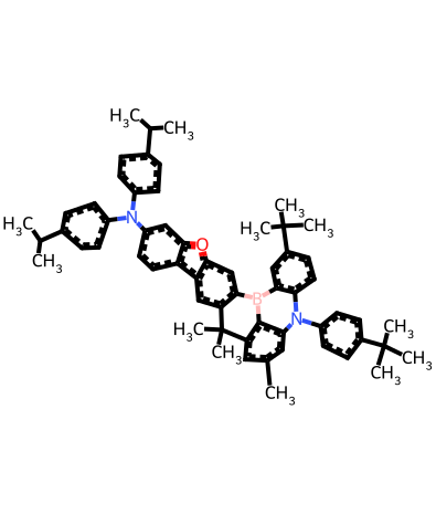 Cc1cc2c3c(c1)C(C)(C)c1cc4c(cc1B3c1cc(C(C)(C)C)ccc1N2c1ccc(C(C)(C)C)cc1)oc1cc(N(c2ccc(C(C)C)cc2)c2ccc(C(C)C)cc2)ccc14